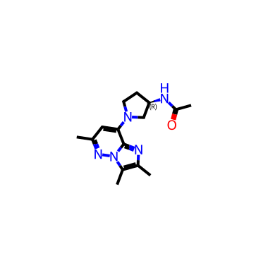 CC(=O)N[C@@H]1CCN(c2cc(C)nn3c(C)c(C)nc23)C1